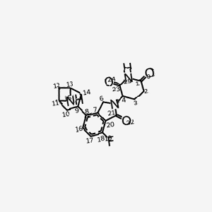 O=C1CCC(N2Cc3c(C4CC5CC(C4)N5)ccc(F)c3C2=O)C(=O)N1